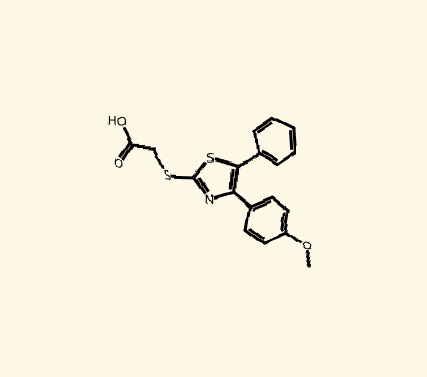 COc1ccc(-c2nc(SCC(=O)O)sc2-c2ccccc2)cc1